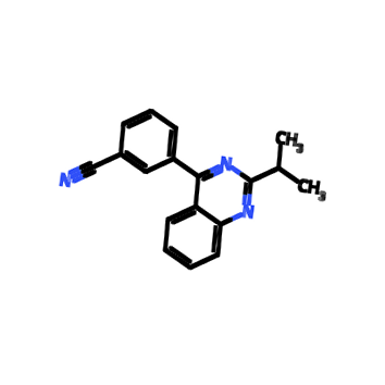 CC(C)c1nc(-c2cccc(C#N)c2)c2ccccc2n1